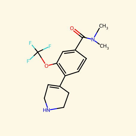 CN(C)C(=O)c1ccc(C2=CCNCC2)c(OC(F)(F)F)c1